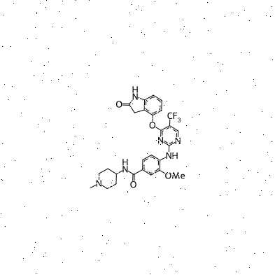 COc1cc(C(=O)NC2CCN(C)CC2)ccc1Nc1ncc(C(F)(F)F)c(Oc2cccc3c2CC(=O)N3)n1